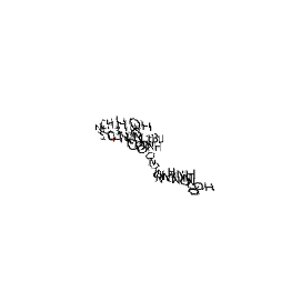 Cc1ncsc1-c1ccc(CNC(=O)[C@@H]2C[C@@H](O)CN2C(=O)[C@@H](NC(=O)[C@H]2CC[C@@H](N3CCC(c4ccnc(N5CCN6c7cc(-c8ccccc8O)nnc7NC[C@H]6C5)n4)CC3)CC2)C(C)(C)C)cc1